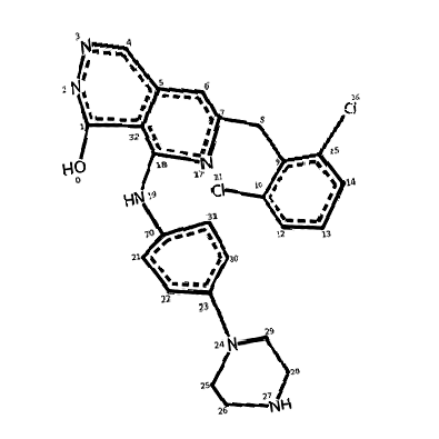 Oc1nncc2cc(Cc3c(Cl)cccc3Cl)nc(Nc3ccc(N4CCNCC4)cc3)c12